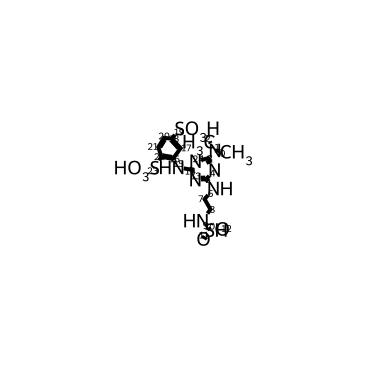 CN(C)c1nc(NCCN[SH](=O)=O)nc(Nc2cc(S(=O)(=O)O)ccc2S(=O)(=O)O)n1